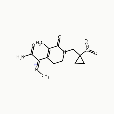 C/N=C(/C(N)=O)C1=C(C)C(=O)N(CC2([SH](=O)=O)CC2)CC1